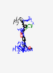 C[C@H](N)CCCc1cc(Cl)c(F)c(-c2cc3cn(-c4ccc(CN[C@H](CCNC(=N)N)CNc5nc6cnccc6o5)cc4)c(=O)nc3[nH]2)c1